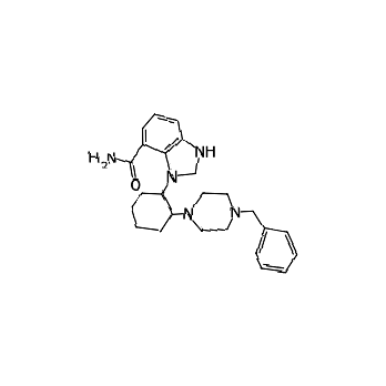 NC(=O)c1cccc2c1N(C1CCCCC1N1CCN(Cc3ccccc3)CC1)CN2